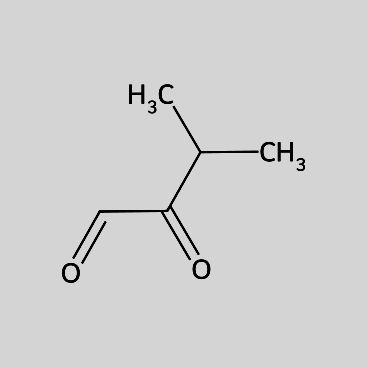 CC(C)C(=O)C=O